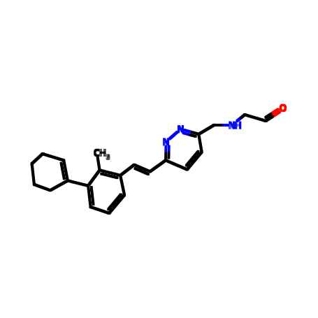 Cc1c(C=Cc2ccc(CNCC=O)nn2)cccc1C1=CCCCC1